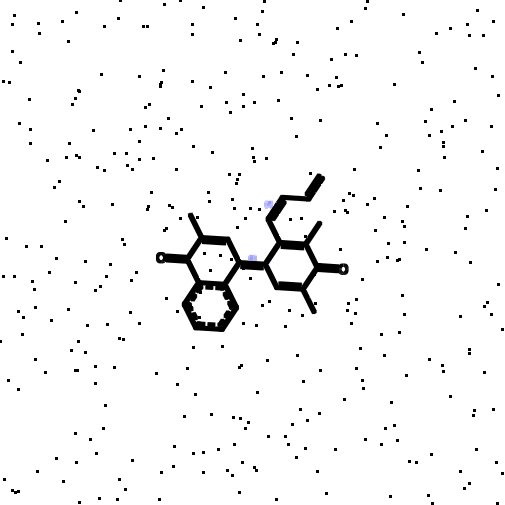 C=C/C=C\C1=C(C)C(=O)C(C)=C/C1=C1/C=C(C)C(=O)c2ccccc21